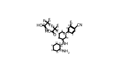 N#Cc1ccc(N2CCCC(N[C@@H]3CCCC[C@H]3N)C2)cc1F.O=C(O)C(F)(F)F.O=C(O)C(F)(F)F